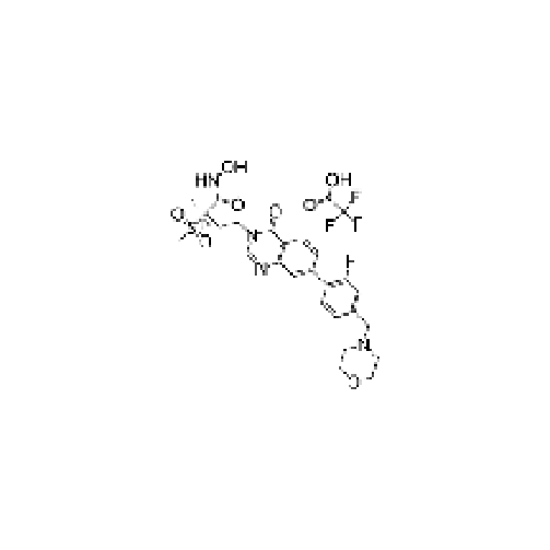 C[C@@](CCn1cnc2cc(-c3ccc(CN4CCOCC4)cc3F)ccc2c1=O)(C(=O)NO)S(C)(=O)=O.O=C(O)C(F)(F)F